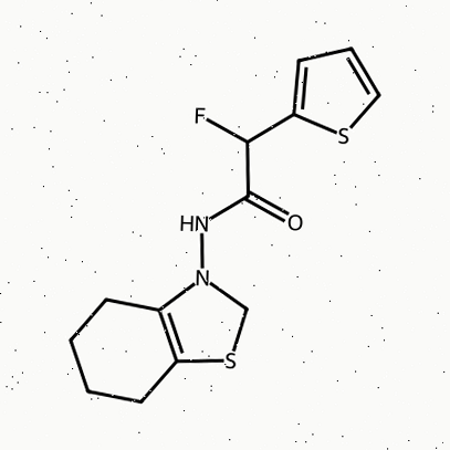 O=C(NN1CSC2=C1CCCC2)C(F)c1cccs1